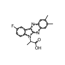 Cc1cc2nc3c4cc(F)ccc4n(C(C)C(=O)O)c3nc2cc1C